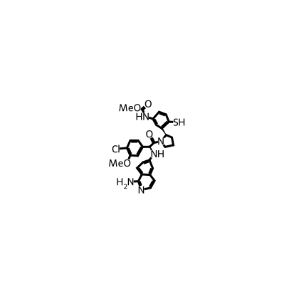 COC(=O)Nc1ccc(S)c([C@H]2CCCN2C(=O)[C@@H](Nc2ccc3c(N)nccc3c2)c2ccc(Cl)c(OC)c2)c1